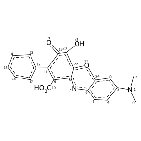 CN(C)c1ccc2nc3c(C(=O)O)c(-c4ccccc4)c(=O)c(O)c-3oc2c1